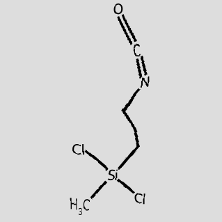 C[Si](Cl)(Cl)CCN=C=O